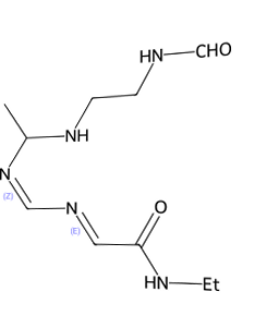 CCNC(=O)/C=N/C=N\C(C)NCCNC=O